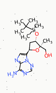 CC(C)(C)[Si](C)(C)O[C@H]1C[C@H](c2cnc3c(N)ncnn23)O[C@]1(C)CO